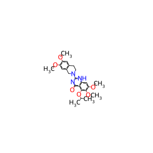 COc1cc2c(cc1OC)CN(c1nc(=O)c3c(OC(C)C)c(OC)c(OC)cc3[nH]1)CC2